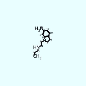 CCCNCCN1CCc2ccc(N)cc21